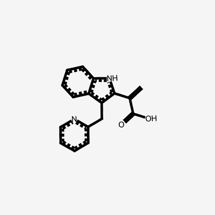 C=C(C(=O)O)c1[nH]c2ccccc2c1Cc1ccccn1